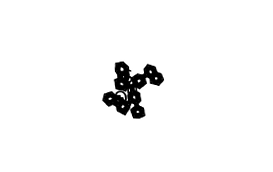 c1ccc(-c2ccc(N(c3ccc(-c4cccc5ccccc45)cc3)c3cccc4c3sc3ccccc34)cc2-c2cccc3c2oc2ccccc23)cc1